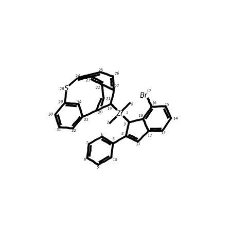 [CH3][Zr]([CH3])([CH]1C(c2ccccc2)=Cc2cccc(Br)c21)[CH]1c2cc3cc(ccc31)sc1cccc2c1